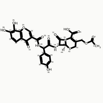 CC(=O)OCC1=C(C(=O)O)N2C(=O)[C@@H](NC(=O)C(NC(=O)c3coc4c(O)c(O)ccc4c3=O)c3ccc(O)cc3)[C@@H]2SC1